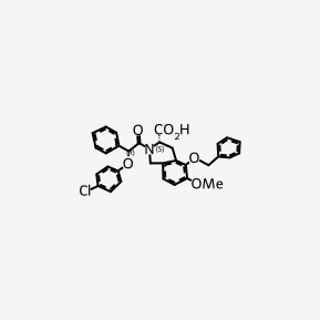 COc1ccc2c(c1OCc1ccccc1)C[C@@H](C(=O)O)N(C(=O)[C@H](Oc1ccc(Cl)cc1)c1ccccc1)C2